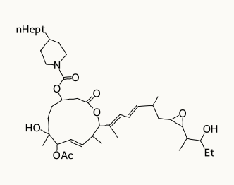 CCCCCCCC1CCN(C(=O)OC2CCC(C)(O)C(OC(C)=O)/C=C/C(C)C(/C(C)=C/C=C/C(C)CC3OC3C(C)C(O)CC)OC(=O)C2)CC1